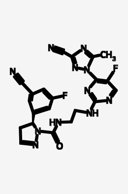 Cc1nc(C#N)nn1-c1nc(NCCNC(=O)N2N=CC[C@H]2c2cc(F)cc(C#N)c2)ncc1F